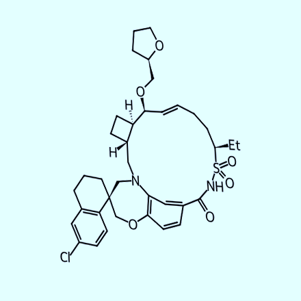 CC[C@@H]1CC/C=C/[C@H](OC[C@H]2CCCO2)[C@@H]2CC[C@H]2CN2C[C@@]3(CCCc4cc(Cl)ccc43)COc3ccc(cc32)C(=O)NS1(=O)=O